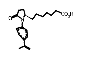 C=C(C)c1ccc(N2C(=O)CC[C@H]2CCCCCCC(=O)O)cc1